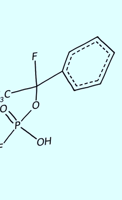 O=P(O)(F)OC(F)(c1ccccc1)C(F)(F)F